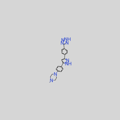 CN1CCN(c2ccc(-c3cc(-c4ccc(-c5nn[nH]n5)cc4)n[nH]3)cc2)CC1